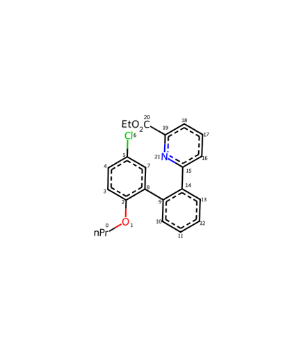 CCCOc1ccc(Cl)cc1-c1ccccc1-c1cccc(C(=O)OCC)n1